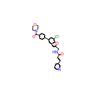 O=C(/C=C/c1cccnc1)NCc1cc2cc(-c3ccc(C(=O)N4CCOCC4)cc3)cc(Cl)c2o1